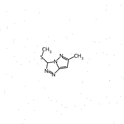 CSC1N=Nc2cc(C)nn21